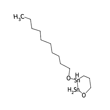 CCCCCCCCCC[O][SnH]1[CH2]CC[O][SnH2]1